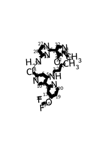 C[C@@H](CCNc1cc(Cl)ncc1-c1cc(OC(F)F)ccn1)Oc1c(-c2nccc(N)n2)cnn1C